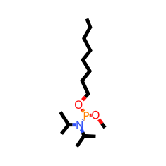 CCCCCCCCOP(OC)N(C(C)C)C(C)C